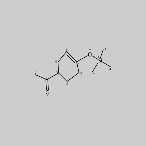 CC(=O)C1CC=C(O[Si](C)(C)C)CC1